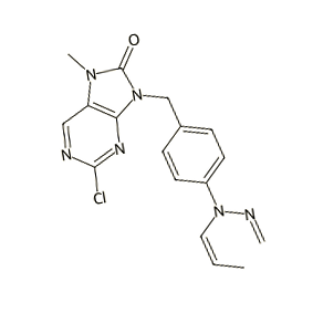 C=NN(/C=C\C)c1ccc(Cn2c(=O)n(C)c3cnc(Cl)nc32)cc1